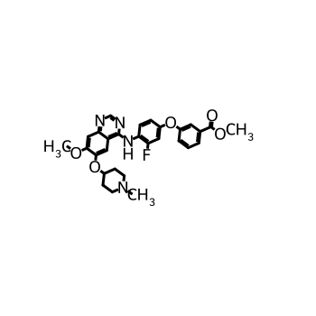 COC(=O)c1cccc(Oc2ccc(Nc3ncnc4cc(OC)c(OC5CCN(C)CC5)cc34)c(F)c2)c1